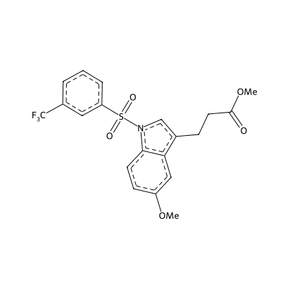 COC(=O)CCc1cn(S(=O)(=O)c2cccc(C(F)(F)F)c2)c2ccc(OC)cc12